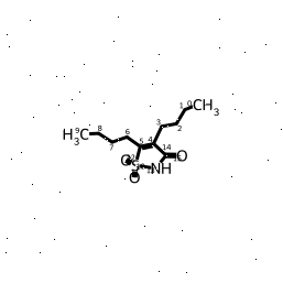 CCCCC1=C(CCCC)S(=O)(=O)NC1=O